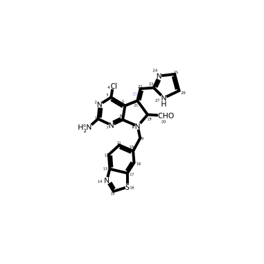 Nc1nc(Cl)c2c(n1)N(Cc1ccc3ncsc3c1)C(C=O)/C2=C\c1ncc[nH]1